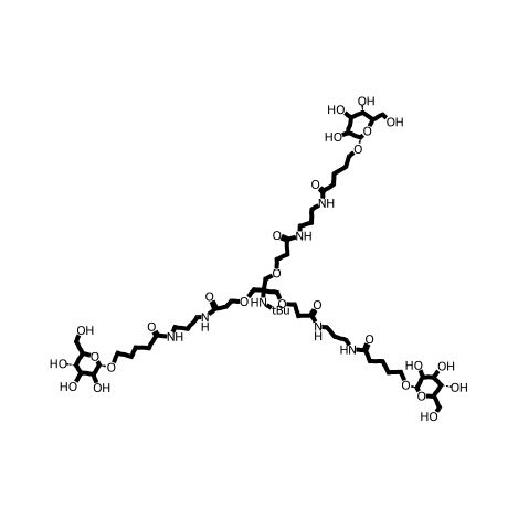 CC(C)(C)NC(COCCC(=O)NCCCNC(=O)CCCCO[C@H]1OC(CO)[C@@H](O)C(O)C1O)(COCCC(=O)NCCCNC(=O)CCCCO[C@H]1OC(CO)[C@@H](O)C(O)C1O)COCCC(=O)NCCCNC(=O)CCCCO[C@H]1OC(CO)[C@@H](O)C(O)C1O